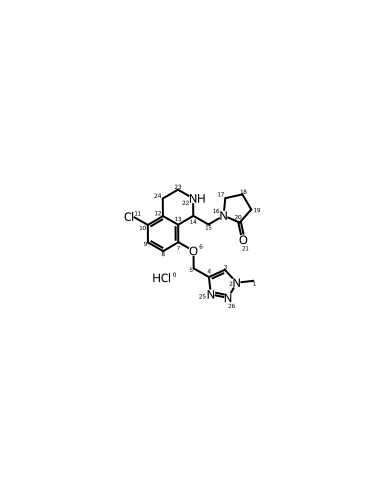 Cl.Cn1cc(COc2ccc(Cl)c3c2C(CN2CCCC2=O)NCC3)nn1